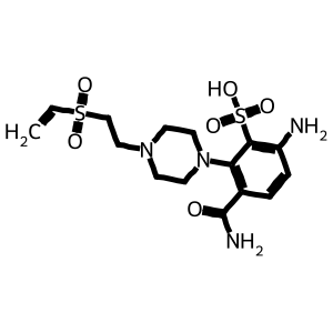 C=CS(=O)(=O)CCN1CCN(c2c(C(N)=O)ccc(N)c2S(=O)(=O)O)CC1